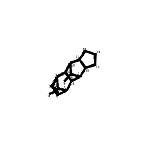 CC1C2C=CC1C1C3C(C)C(C4CCCC43)C21